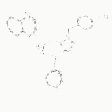 Cc1ccc(CCN(Cc2ccnc3ccccc23)Cc2nncn2Cc2ccc(C#N)cc2)cc1